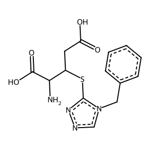 NC(C(=O)O)C(CC(=O)O)Sc1nncn1Cc1ccccc1